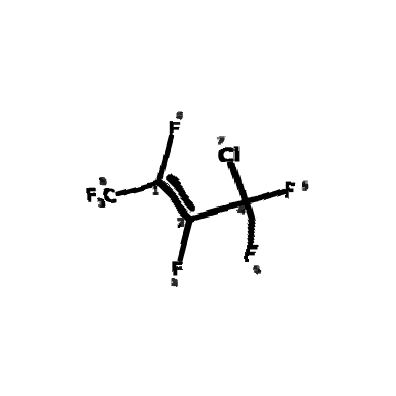 FC(=C(F)C(F)(F)Cl)C(F)(F)F